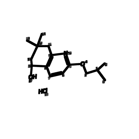 CC(C)COc1ccc2c(n1)CC(C)(C)CC2O.Cl